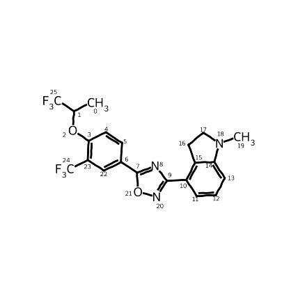 CC(Oc1ccc(-c2nc(-c3cccc4c3CCN4C)no2)cc1C(F)(F)F)C(F)(F)F